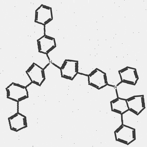 c1ccc(-c2ccc(N(c3ccc(-c4ccc(N(c5ccccc5)c5ccc(-c6ccccc6)c6ccccc56)cc4)cc3)c3ccc(-c4cccc(-c5ccccc5)c4)cc3)cc2)cc1